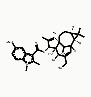 COc1ccc2c(c1)c(C(=O)O[C@H]1C(C)=C[C@]34C(O)[C@@H](C=C(CO)[C@@H](O)[C@]13O)[C@H]1[C@@H](C[C@H]4C)C1(C)C)c(C)n2C